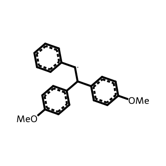 COc1ccc(C([CH]c2ccccc2)c2ccc(OC)cc2)cc1